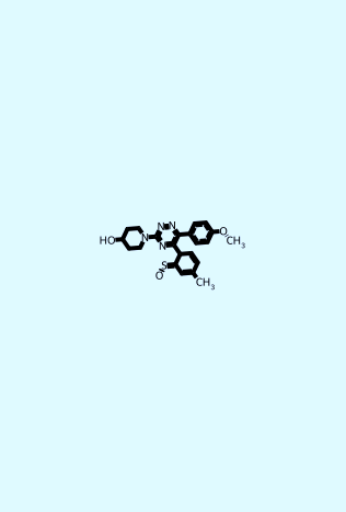 COc1ccc(-c2nnc(N3CCC(O)CC3)nc2C2C=CC(C)=CC2=S=O)cc1